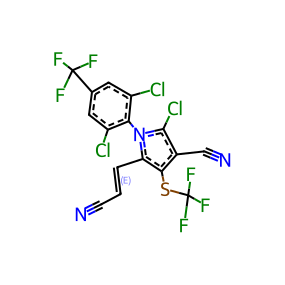 N#C/C=C/c1c(SC(F)(F)F)c(C#N)c(Cl)n1-c1c(Cl)cc(C(F)(F)F)cc1Cl